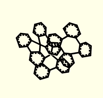 c1ccc(-c2ccccc2N(c2cccc3c2-c2ccccc2-c2ccccc2-c2ccccc2-3)c2cccc3c2C2(c4ccccc4-c4ccccc42)c2ccccc2-3)cc1